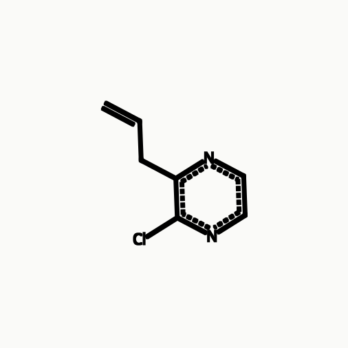 C=CCc1nccnc1Cl